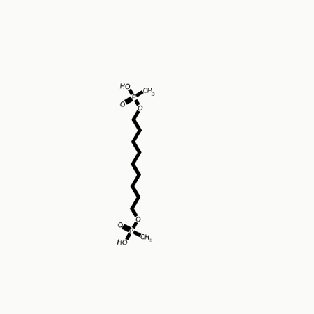 CP(=O)(O)OCCCCCCCCCOP(C)(=O)O